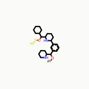 CC(C)OC(c1cccc(C2CCCC(C(OSS)C3CCCCC3)N2)c1)C1CCCCN1